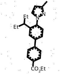 CCOC(=O)c1ccc(-c2ccc(-n3ccc(C)n3)c(C(CC)CC)c2)cc1